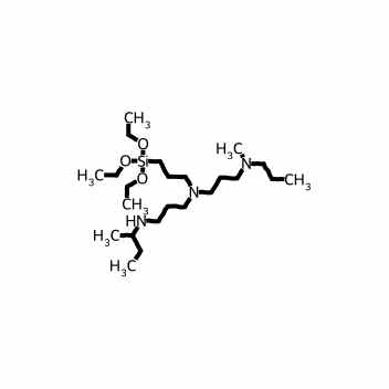 CCCN(C)CCCN(CCCNC(C)CC)CCC[Si](OCC)(OCC)OCC